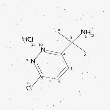 CC(C)(N)c1ccc(Cl)nn1.Cl